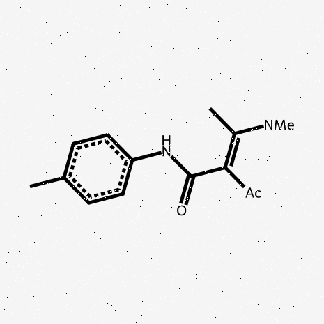 CNC(C)=C(C(C)=O)C(=O)Nc1ccc(C)cc1